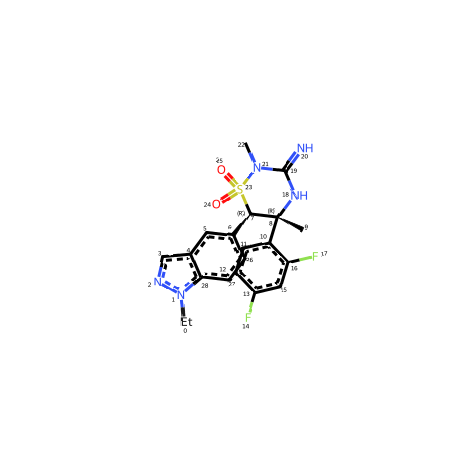 CCn1ncc2cc([C@@H]3[C@@](C)(c4ccc(F)cc4F)NC(=N)N(C)S3(=O)=O)ccc21